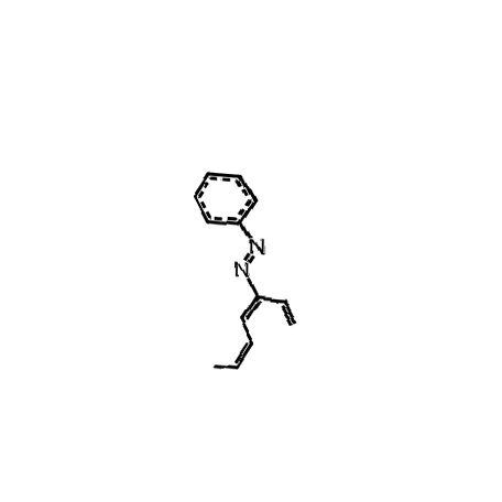 C=CC(=C\C=C/C)/N=N/c1ccccc1